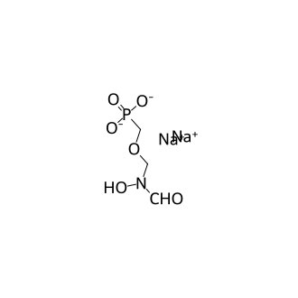 O=CN(O)COCP(=O)([O-])[O-].[Na+].[Na+]